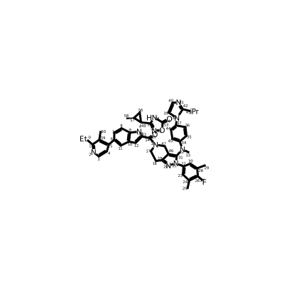 CCc1nccc(-c2ccc3c(c2)cc(C(=O)N2CCc4nn(-c5cc(C)c(F)c(C)c5)c(N(C)c5ccc(-n6ccnc6C(C)C)cc5)c4C2)n3[C@@]2(c3noc(=O)[nH]3)C[C@@H]2C)c1C